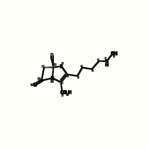 O=C(O)C1=C(CCCCNO)S[C@H]2CC(=O)N12